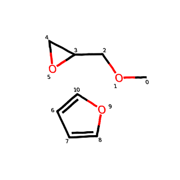 COCC1CO1.c1ccoc1